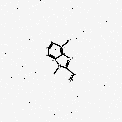 Cn1c(C=O)nc2c(F)cccc21